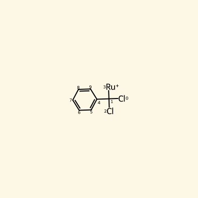 Cl[C](Cl)([Ru+])c1ccccc1